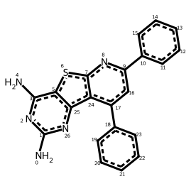 Nc1nc(N)c2sc3nc(-c4ccccc4)cc(-c4ccccc4)c3c2n1